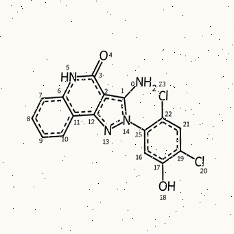 Nc1c2c(=O)[nH]c3ccccc3c2nn1-c1cc(O)c(Cl)cc1Cl